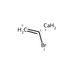 C=CBr.[CaH2]